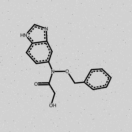 O=C(CO)N(OCc1ccccc1)c1ccc2[nH]cnc2c1